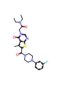 CCN(CC)C(=O)Cn1cnc2sc(C(=O)N3CCN(c4cccc(F)c4)CC3)c(C)c2c1=O